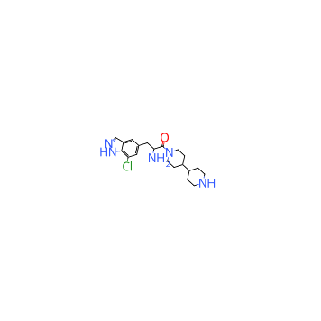 NC(Cc1cc(Cl)c2[nH]ncc2c1)C(=O)N1CCC(C2CCNCC2)CC1